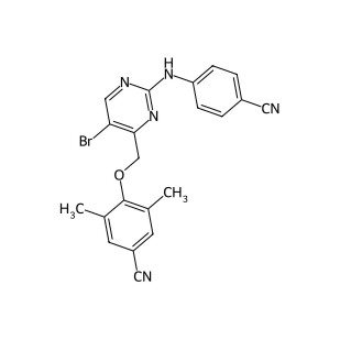 Cc1cc(C#N)cc(C)c1OCc1nc(Nc2ccc(C#N)cc2)ncc1Br